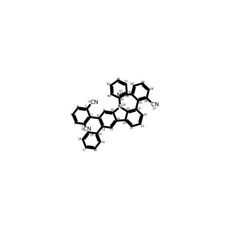 N#Cc1cccc(C#N)c1-c1cc2c(cc1-c1ccccc1)c1cccc(-c3c(C#N)cccc3C#N)c1n2-c1ccccc1